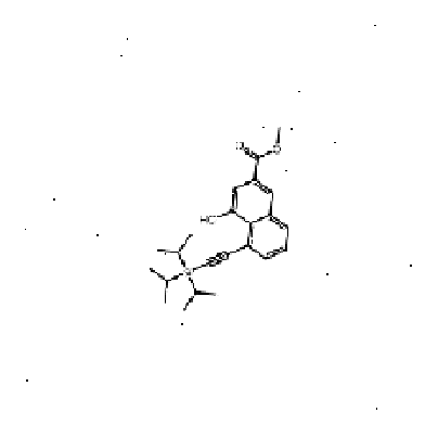 COC(=O)c1cc(O)c2c(C#C[Si](C(C)C)(C(C)C)C(C)C)cccc2c1